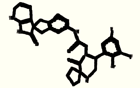 O=C(CN1C(=O)C2(CCCC2)NCC1c1cc(F)cc(F)c1Br)Nc1ccc2c(c1)CC1(C2)C(=O)NC2=C1C=CCN2